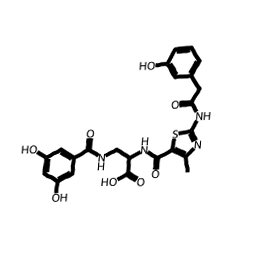 Cc1nc(NC(=O)Cc2cccc(O)c2)sc1C(=O)NC(CNC(=O)c1cc(O)cc(O)c1)C(=O)O